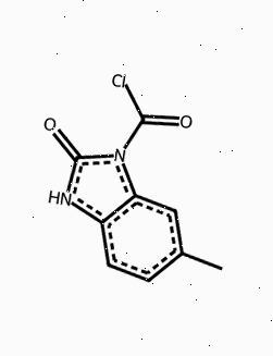 Cc1ccc2[nH]c(=O)n(C(=O)Cl)c2c1